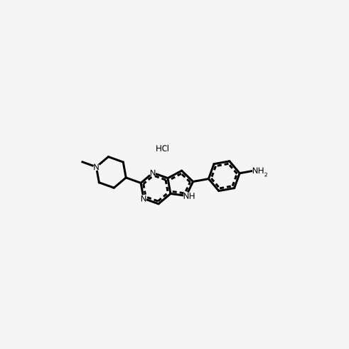 CN1CCC(c2ncc3[nH]c(-c4ccc(N)cc4)cc3n2)CC1.Cl